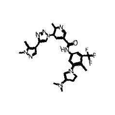 Cc1ncc(C(=O)Nc2cc(N3CCC(N(C)C)C3)c(C)c(C(F)(F)F)c2)cc1-n1cc(-c2cnn(C)c2C)nn1